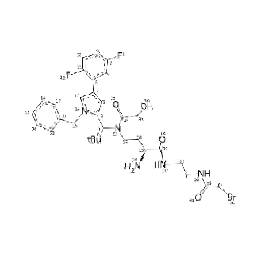 CC(C)(C)C(c1cc(-c2cc(F)ccc2F)cn1Cc1ccccc1)N(CC[C@H](N)C(=O)NCCNC(=O)CBr)C(=O)CO